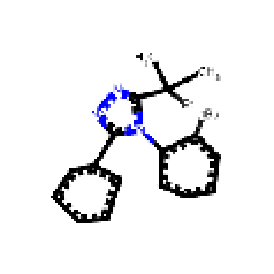 CCC(C)(C)c1nnc(-c2ccccc2)n1-c1ccccc1C(C)(C)C